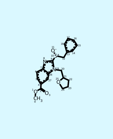 COC(=O)c1ccc2nc([S+]([O-])Cc3ccccc3)n(CC3CCCO3)c2c1